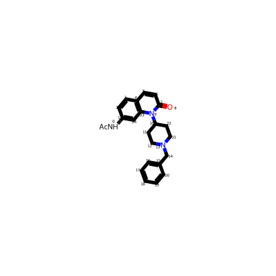 CC(=O)Nc1ccc2ccc(=O)n(C3CCN(Cc4ccccc4)CC3)c2c1